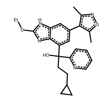 CCOc1nc2c(C(O)(CCC3CC3)c3ccccn3)cc(-c3c(C)noc3C)cc2[nH]1